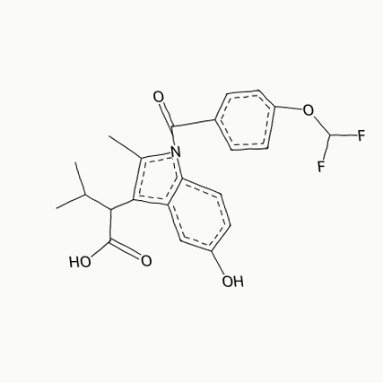 Cc1c(C(C(=O)O)C(C)C)c2cc(O)ccc2n1C(=O)c1ccc(OC(F)F)cc1